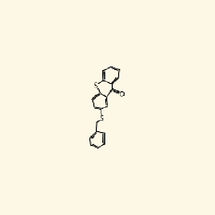 O=c1c2ccccc2sc2ccc(SCc3ccccc3)cc12